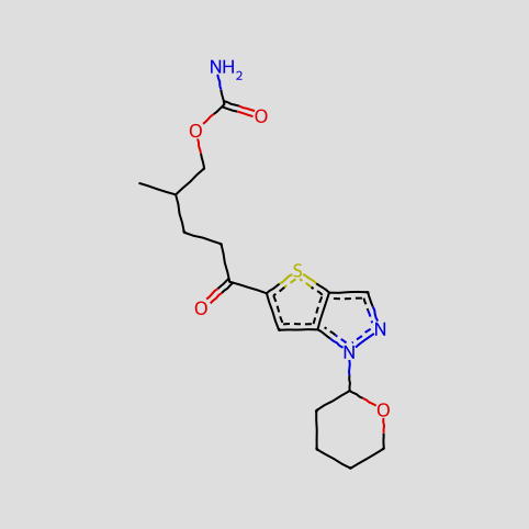 CC(CCC(=O)c1cc2c(cnn2C2CCCCO2)s1)COC(N)=O